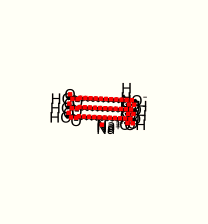 O=C(O)C=CC(=O)CCCCCCCCCCCCCCCCCCN[C@@H](CC(=O)[O-])C(=O)O.O=C(O)C=CC(=O)CCCCCCCCCCCCCCCCCCN[C@@H](CC(=O)[O-])C(=O)O.O=C(O)C=CC(=O)CCCCCCCCCCCCCCCCCCN[C@@H](CC(=O)[O-])C(=O)O.[Na+].[Na+].[Na+]